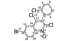 [O-][n+]1c(Cl)c(-c2ccccc2Cl)c(Cl)c2cc(Br)ccc21